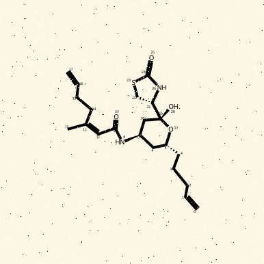 C=CCCC[C@@H]1C[C@@H](NC(=O)/C=C(/C)CCC=C)C[C@](O)([C@@H]2CSC(=O)N2)O1